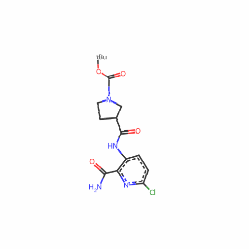 CC(C)(C)OC(=O)N1CCC(C(=O)Nc2ccc(Cl)nc2C(N)=O)C1